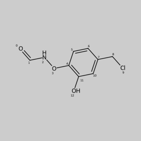 O=CNOc1ccc(CCl)cc1O